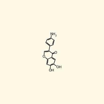 Nc1ccc(-c2coc3cc(O)c(O)cc3c2=O)cc1